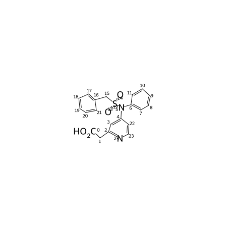 O=C(O)Cc1cc(N(c2ccccc2)S(=O)(=O)Cc2ccccc2)ccn1